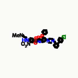 CNCCCNc1ccc(S(=O)(=O)NC(=O)c2ccc(N3CCN(Cc4ccccc4-c4ccc(Cl)cc4)CC3)cc2Oc2ccccc2)cc1[N+](=O)[O-]